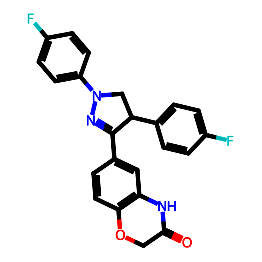 O=C1COc2ccc(C3=NN(c4ccc(F)cc4)CC3c3ccc(F)cc3)cc2N1